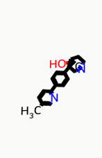 Cc1ccc(-c2ccc(C3(O)CN4CCC3CC4)cc2)nc1